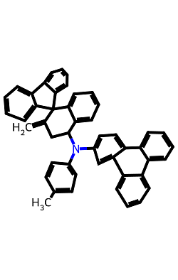 C=C1CC(N(c2ccc(C)cc2)c2ccc3c4ccccc4c4ccccc4c3c2)c2ccccc2C12c1ccccc1-c1ccccc12